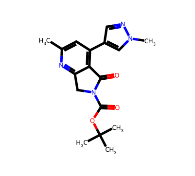 Cc1cc(-c2cnn(C)c2)c2c(n1)CN(C(=O)OC(C)(C)C)C2=O